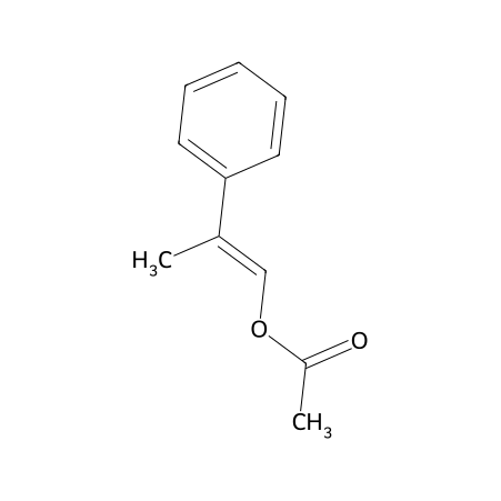 CC(=O)OC=C(C)c1ccccc1